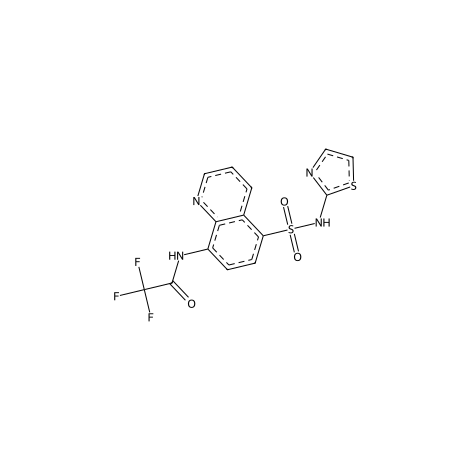 O=C(Nc1ccc(S(=O)(=O)Nc2nccs2)c2cccnc12)C(F)(F)F